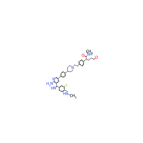 CNCc1ccc(C(=N)c2cc(-c3ccc(C4CCN(CCc5ccc(C(CCC=O)C(=O)NC)cc5)CC4)cc3)cnc2N)cc1F